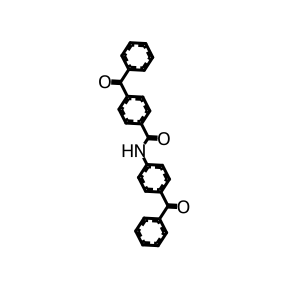 O=C(Nc1ccc(C(=O)c2ccccc2)cc1)c1ccc(C(=O)c2ccccc2)cc1